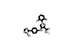 CC(C)n1ncnc1-c1ccc(Nc2cn(-c3c(F)cccc3F)nc2C(N)=O)cc1